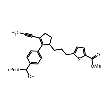 CC#CC1=C(c2ccc(C(O)CCCCC)cc2)C(CCCc2ccc(C(=O)OC)s2)CC1